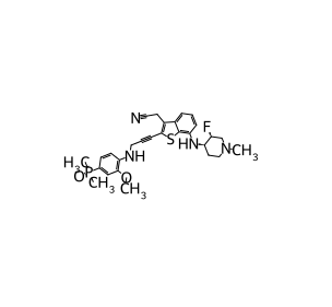 COc1cc(P(C)(C)=O)ccc1NCC#Cc1sc2c(N[C@@H]3CCN(C)C[C@@H]3F)cccc2c1CC#N